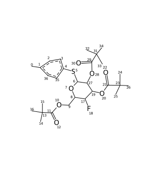 Cc1ccc(SC2OC(COC(=O)C(C)(C)C)C(F)C(OC(=O)C(C)(C)C)C2OC(=O)C(C)(C)C)cc1